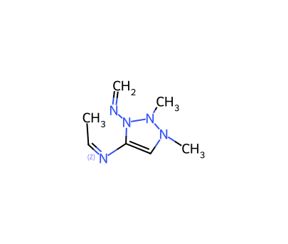 C=NN1C(/N=C\C)=CN(C)N1C